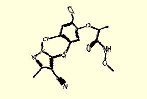 CONC(=O)[C@H](C)Oc1cc(Sc2c(C#N)c(C)nn2C)c(Cl)cc1Cl